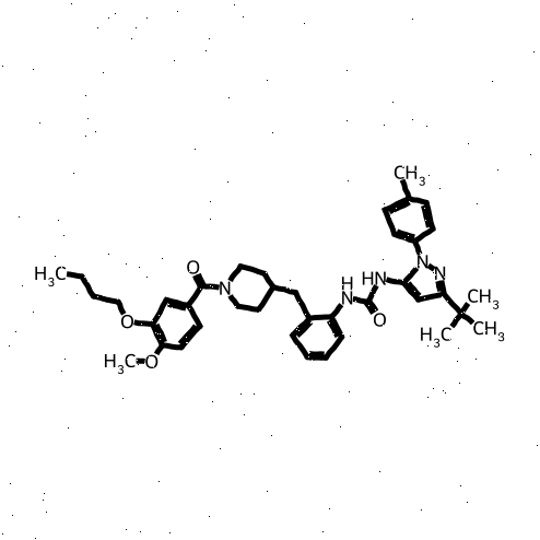 CCCCOc1cc(C(=O)N2CCC(Cc3ccccc3NC(=O)Nc3cc(C(C)(C)C)nn3-c3ccc(C)cc3)CC2)ccc1OC